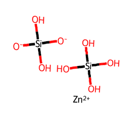 O[Si](O)(O)O.[O-][Si]([O-])(O)O.[Zn+2]